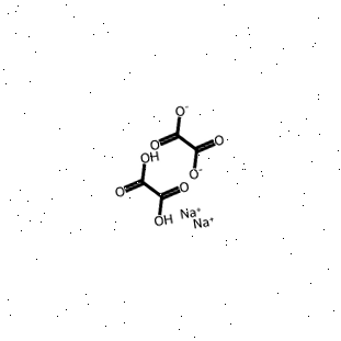 O=C(O)C(=O)O.O=C([O-])C(=O)[O-].[Na+].[Na+]